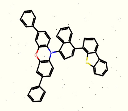 c1ccc(-c2ccc3c(c2)Oc2cc(-c4ccccc4)ccc2N3c2ccc(-c3cccc4c3sc3ccccc34)c3ccccc23)cc1